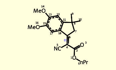 CCCOC(=O)/C(C#N)=C1\CC(C)(C)c2cc(OC)c(OC)cc21